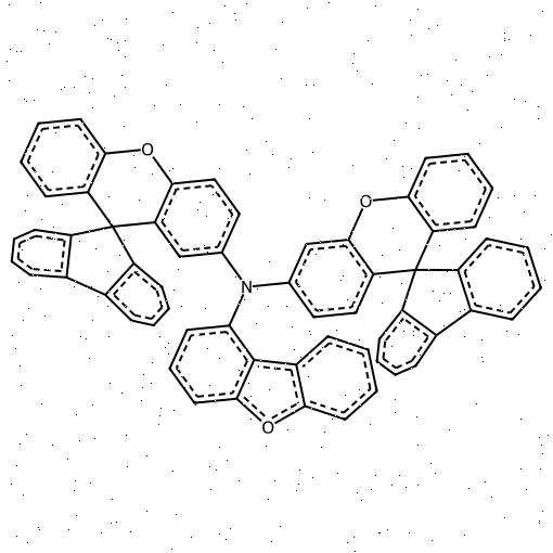 c1ccc2c(c1)Oc1cc(N(c3ccc4c(c3)C3(c5ccccc5O4)c4ccccc4-c4ccccc43)c3cccc4oc5ccccc5c34)ccc1C21c2ccccc2-c2ccccc21